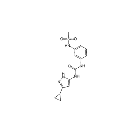 CS(=O)(=O)Nc1cccc(NC(=O)Nc2cc(C3CC3)n[nH]2)c1